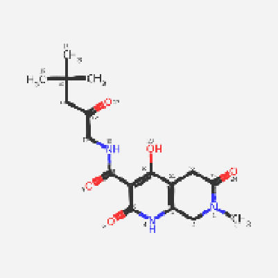 CN1Cc2[nH]c(=O)c(C(=O)NCC(=O)CC(C)(C)C)c(O)c2CC1=O